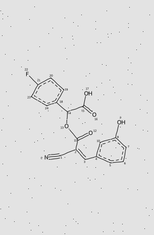 N#CC(=Cc1cccc(O)c1)C(=O)OC(C(=O)O)c1ccc(F)cc1